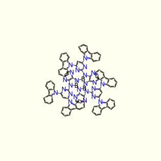 c1ccc2c(c1)c1ccccc1n2-c1cc(-n2c3ccccc3c3ccccc32)nc(N2B3N(B4N(B5N3c3nccnc3N5c3nc(-n5c6ccccc6c6ccccc65)cc(-n5c6ccccc6c6ccccc65)n3)c3nccnc3N4c3nc(-n4c5ccccc5c5ccccc54)cc(-n4c5ccccc5c5ccccc54)n3)c3nccnc32)n1